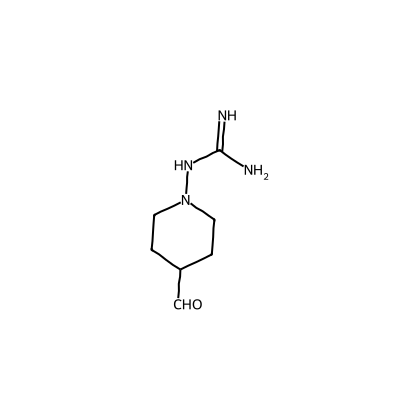 N=C(N)NN1CCC(C=O)CC1